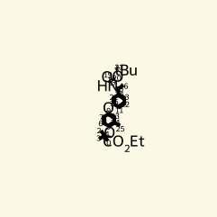 CCOC(=O)C(C)(C)Oc1ccc(Oc2cccc(C(C)NC(=O)OC(C)(C)C)c2)cc1C